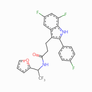 O=C(CCc1c(-c2ccc(F)cc2)[nH]c2c(F)cc(F)cc12)NC(c1ccco1)C(F)(F)F